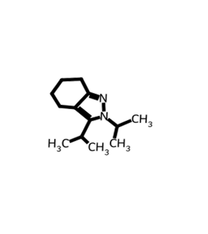 CC(C)c1c2c(nn1C(C)C)CCCC2